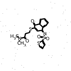 CN(C)C(=O)CCSC1=CC(=NS(=O)(=O)c2cccs2)c2ccccc2C1=O